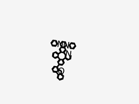 c1ccc(N2CCN(c3ccccc3)c3cc4c(cc32)-c2ccccc2-c2cc(-c3cccc5c3oc3ccccc35)ccc2-c2cccnc2-4)cc1